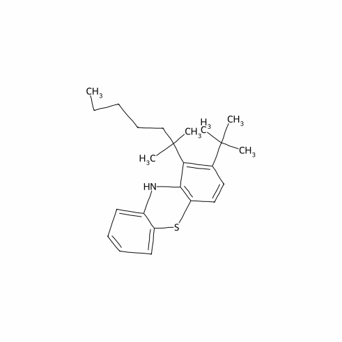 CCCCCC(C)(C)c1c(C(C)(C)C)ccc2c1Nc1ccccc1S2